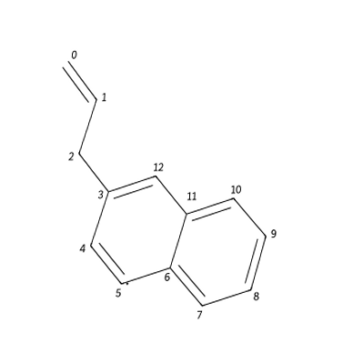 C=CCc1c[c]c2ccccc2c1